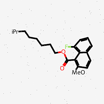 COc1ccc2cccc(F)c2c1C(=O)OCCCCCCC(C)C